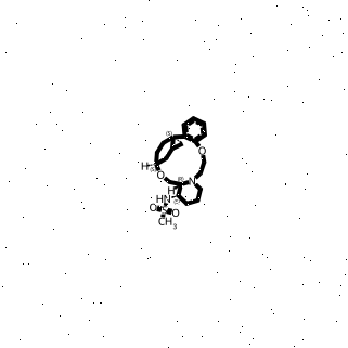 CS(=O)(=O)N[C@H]1CCCN2CCOc3ccccc3[C@]34CC[C@@H](CC3C4)OC[C@@H]12